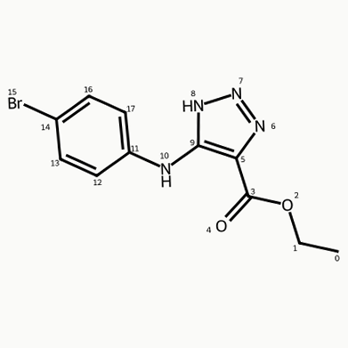 CCOC(=O)c1nn[nH]c1Nc1ccc(Br)cc1